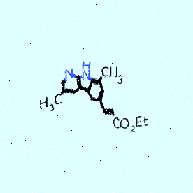 CCOC(=O)/C=C/C1=CC(C)=C2Nc3ncc(C)cc3C2C1